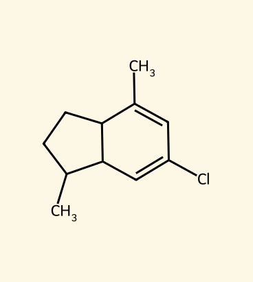 CC1=CC(Cl)=CC2C(C)CCC12